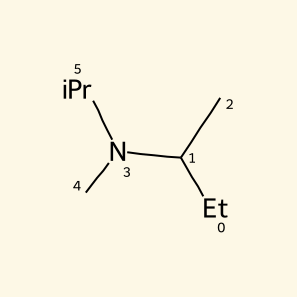 CCC(C)N(C)C(C)C